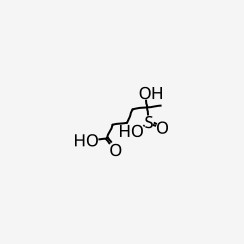 CC(O)(CCCC(=O)O)S(=O)O